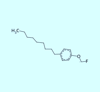 CCCCCCCCCc1ccc(O[CH]F)cc1